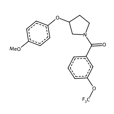 COc1ccc(OC2CCN(C(=O)c3cccc(OC(F)(F)F)c3)C2)cc1